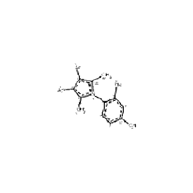 CC(=O)c1c(C(C)=O)c(C)n(-c2ccc(O)cc2O)c1C